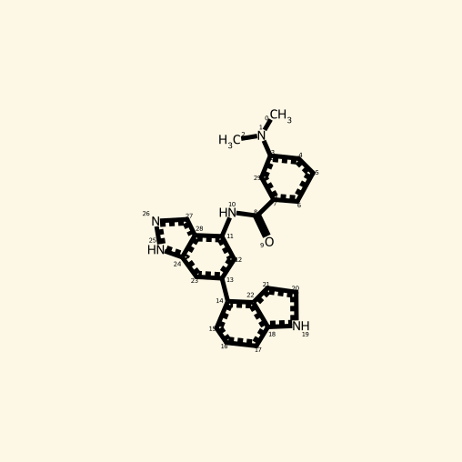 CN(C)c1cccc(C(=O)Nc2cc(-c3cccc4[nH]ccc34)cc3[nH]ncc23)c1